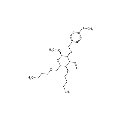 CCCCOCC1O[C@@H](OC)[C@@H](OCc2ccc(OC)cc2)C(C=O)[C@H]1OCCCC